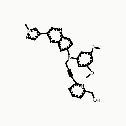 COc1cc(OC)cc(N(CC#Cc2cccc(CO)n2)c2ccc3ncc(-c4cnn(C)c4)nc3c2)c1